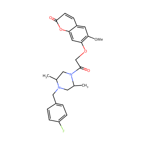 COc1cc2ccc(=O)oc2cc1OCC(=O)N1CC(C)N(Cc2ccc(F)cc2)CC1C